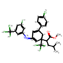 COC(=O)C(CC(C)C)C1(C(F)(F)F)C=C(Nc2cc(F)cc(C(F)(F)F)c2)C=C(c2ccc(Cl)cc2)C1